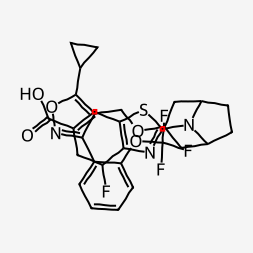 O=C(O)C1=Cc2sc(N3C4CCC3CC(OCc3c(-c5ccccc5OC(F)(F)F)noc3C3CC3)C4)nc2C(F)C1